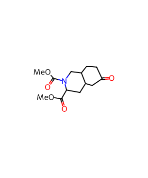 COC(=O)C1CC2CC(=O)CCC2CN1C(=O)OC